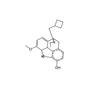 COC1=CC=C2C3Cc4ccc(O)c5c4[C@@]2(CCN3CC2CCC2)[C@H]1O5